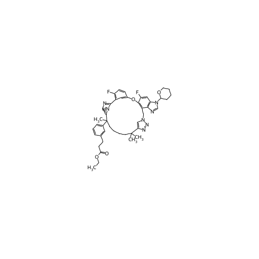 CCOC(=O)CCc1cccc(C2(C)CCCCC(C)(C)c3cn(nn3)Cc3c(c(F)cc4c3ncn4C3CCCCO3)Oc3ccc(F)c(c3)-c3ncc2[nH]3)c1